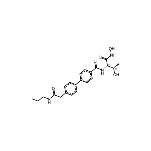 CCCNC(=O)Cc1ccc(-c2ccc(C(=O)N[C@H](C(=O)NO)[C@@H](C)O)cc2)cc1